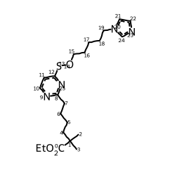 CCOC(=O)C(C)(C)CCCCc1nccc(SOCCCCCn2ccnc2)n1